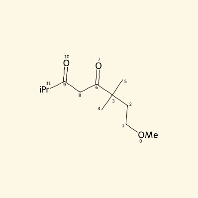 COCCC(C)(C)C(=O)CC(=O)C(C)C